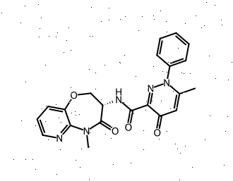 Cc1cc(=O)c(C(=O)N[C@H]2COc3cccnc3N(C)C2=O)nn1-c1ccccc1